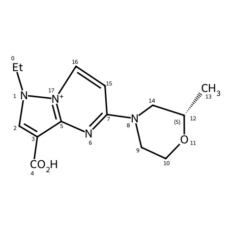 CCn1cc(C(=O)O)c2nc(N3CCO[C@@H](C)C3)cc[n+]21